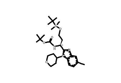 Cc1ccc2c(c1)nc([C@H](CCO[Si](C)(C)C(C)(C)C)NC(=O)OC(C)(C)C)n2C1CCOCC1